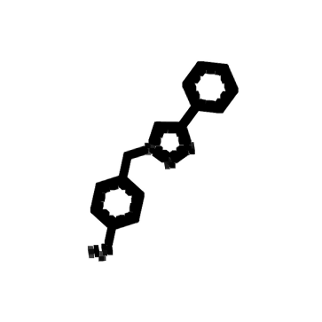 Nc1ccc(Cn2cc(-c3ccccc3)nn2)cc1